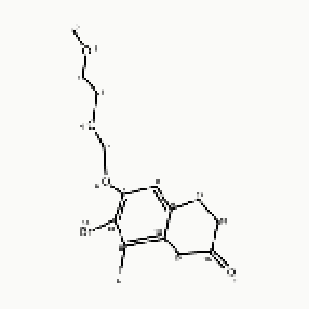 COCCOCOc1cc2c(c(F)c1Br)CC(=O)CC2